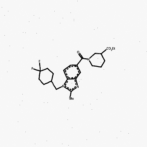 CCOC(=O)C1CCCN(C(=O)c2ccc3c(c2)nc(C(C)(C)C)n3CC2CCC(F)(F)CC2)C1